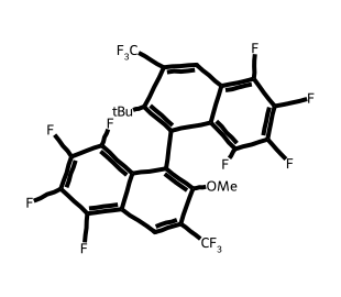 COc1c(C(F)(F)F)cc2c(F)c(F)c(F)c(F)c2c1-c1c(C(C)(C)C)c(C(F)(F)F)cc2c(F)c(F)c(F)c(F)c12